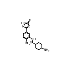 C[C@H](Nc1cc(-c2n[nH]c(=O)o2)ccc1Br)C1CCC(N)CC1